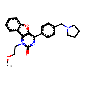 COCCn1c(=O)nc(-c2ccc(CN3CCCC3)cc2)c2oc3ccccc3c21